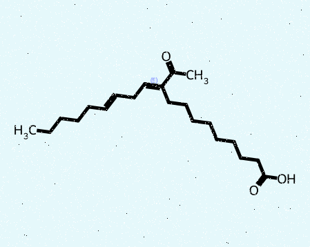 CCCCCC=CC/C=C(\CCCCCCCCC(=O)O)C(C)=O